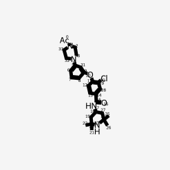 CC(=O)N1CCN(c2cccc(Oc3ccc(C(=O)NC4CC(C)(C)NC(C)(C)C4)cc3Cl)c2)CC1